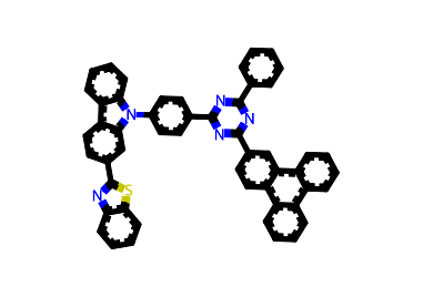 c1ccc(-c2nc(-c3ccc(-n4c5ccccc5c5ccc(-c6nc7ccccc7s6)cc54)cc3)nc(-c3ccc4c5ccccc5c5ccccc5c4c3)n2)cc1